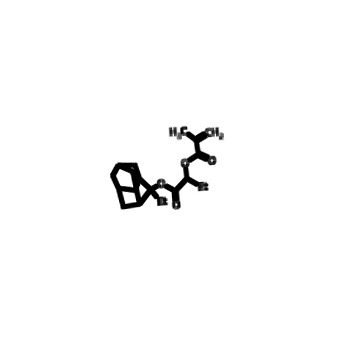 C=C(C)C(=O)OC(CC)C(=O)OC1(CC)C2CC3CC(C2)CC1C3